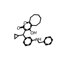 O=c1oc2c(c(O)c1C(c1cccc(NCc3ccccc3)c1)C1CC1)CCCCCC2